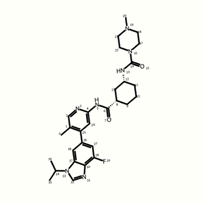 Cc1cnc(NC(=O)[C@H]2CCC[C@@H](NC(=O)N3CCN(C)CC3)C2)cc1-c1cc(F)c2ncn(C(C)C)c2c1